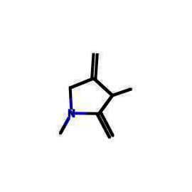 C=C1CN(C)C(=C)C1C